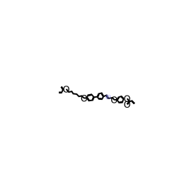 C=CC(=C)OCCCCCCOc1ccc(-c2ccc(/C=C/COc3ccc(OC(=O)C=C)cc3)cc2)cc1